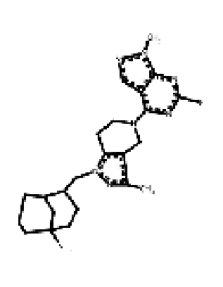 Cc1nn(CC2CCC3(N)CCCC2C3)c2c1CN(c1nc(F)nc3c1cnn3C)CC2